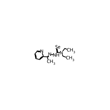 CCN(CC)C(=[Se])NN=C(C)c1ccccn1